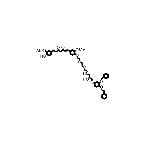 COc1cc(/C=C/C(=O)CC(=O)/C=C/c2ccc(OCCOCCOCCNC[C@@H](O)COc3ccc(OCCc4ccccc4)c(OCc4ccccc4)c3)c(OC)c2)ccc1O